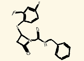 O=C1CC(Sc2ccc(F)cc2F)N1C(=O)NCc1ccccc1